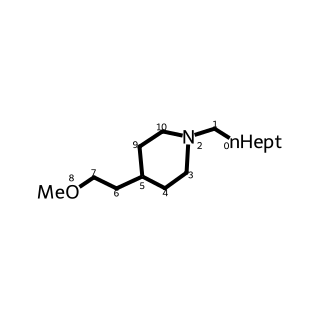 CCCCCCCCN1CCC(CCOC)CC1